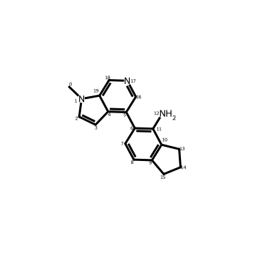 Cn1ccc2c(-c3ccc4c(c3N)CCC4)cncc21